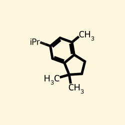 Cc1cc(C(C)C)cc2c1CCC2(C)C